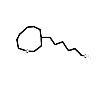 CCCCCCC[C]1CCCCCCCCC1